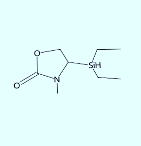 CC[SiH](CC)C1COC(=O)N1C